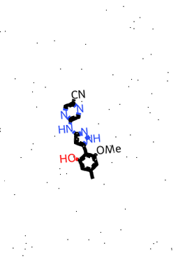 COc1cc(C)cc(O)c1-c1cc(Nc2cnc(C#N)cn2)n[nH]1